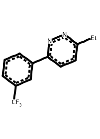 CCc1ccc(-c2cccc(C(F)(F)F)c2)nn1